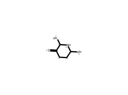 CCCC1CCC(=O)C(CCC)N1